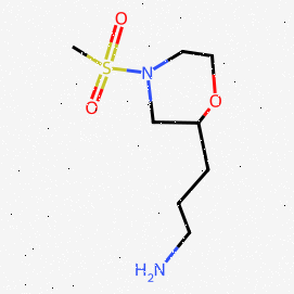 CS(=O)(=O)N1CCOC(CCCN)C1